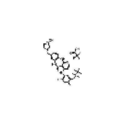 Cc1cc(F)c(Nc2ccnc3c2C(=O)Nc2cc(CN4CC[C@@H](O)C4)ccc2N3)cc1O[Si](C)(C)C(C)(C)C.O=C(O)C(F)(F)F